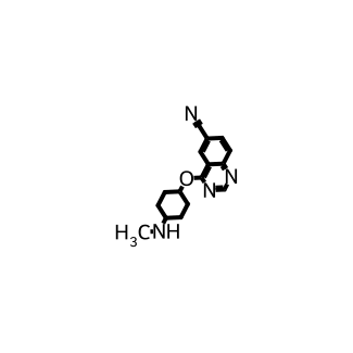 CNC1CCC(Oc2ncnc3ccc(C#N)cc23)CC1